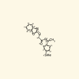 CSc1ccc(N(C)OC(=O)COc2nc3ccccc3o2)cc1